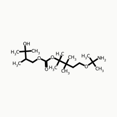 CC(COC(=O)OC(C)(C)C(C)(C)CCOC(C)(C)N)C(C)(C)O